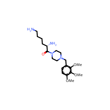 COc1ccc(CN2CCN(C(=O)[C@@H](N)CCCCN)CC2)c(OC)c1OC